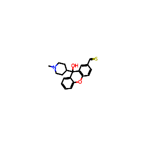 CN1CCC(C2(O)c3ccccc3Oc3ccc(C=S)cc32)CC1